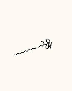 CCCCCCCCCCCCCCCCC(CC)C1ON=NC1=O